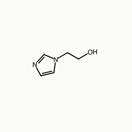 OCCn1[c]ncc1